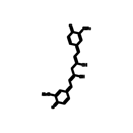 COC1=C/C(=C\C=C(/O)C/C(O)=C/C=C2\C=CC(=O)C(OC)=C2)C=CC1=O